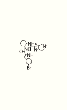 CN1CCc2nc(C(=O)N[C@H]3CCCC[C@H]3NC(=O)c3cc4cc(Br)ccc4[nH]3)sc2C1